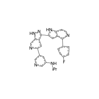 CC(C)Nc1cncc(-c2cc3c(-c4cc5c(-c6ccc(F)cc6)nccc5[nH]4)n[nH]c3cn2)c1